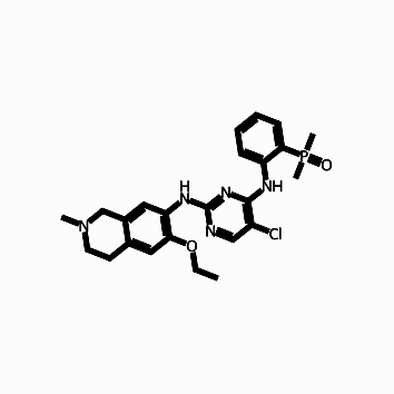 CCOc1cc2c(cc1Nc1ncc(Cl)c(Nc3ccccc3P(C)(C)=O)n1)CN(C)CC2